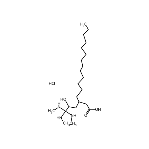 CCCCCCCCCCCCCC(CC(=O)O)CC(O)C(NC)(NC)NC.Cl